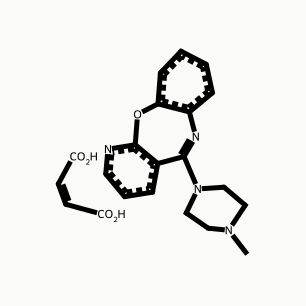 CN1CCN(C2=Nc3ccccc3Oc3ncccc32)CC1.O=C(O)/C=C\C(=O)O